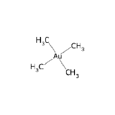 [CH3][Au]([CH3])([CH3])[CH3]